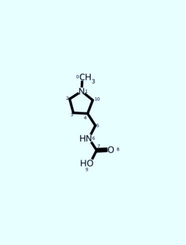 CN1CCC(CNC(=O)O)C1